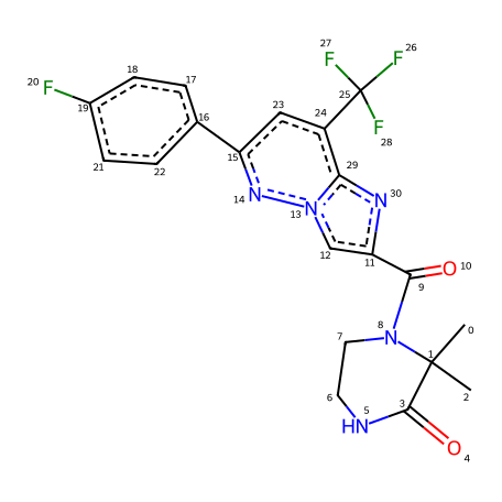 CC1(C)C(=O)NCCN1C(=O)c1cn2nc(-c3ccc(F)cc3)cc(C(F)(F)F)c2n1